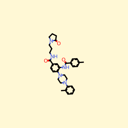 Cc1ccc(C(=O)Nc2cc(C(=O)NCCCN3CCCC3=O)ccc2N2CCN(c3ccccc3C)CC2)cc1